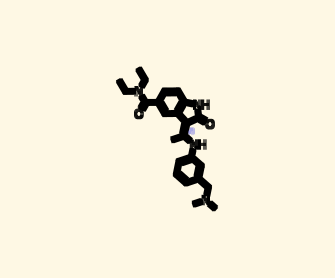 CCN(CC)C(=O)c1ccc2c(c1)/C(=C(\C)Nc1cccc(CN(C)C)c1)C(=O)N2